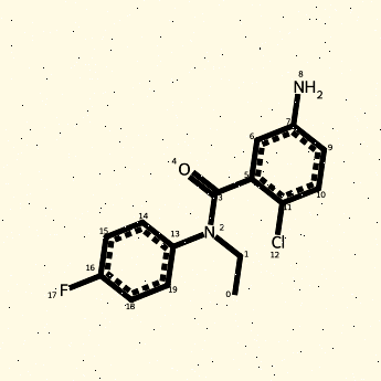 CCN(C(=O)c1cc(N)ccc1Cl)c1ccc(F)cc1